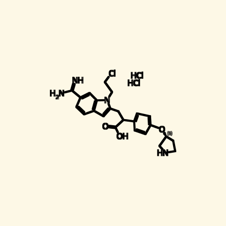 Cl.Cl.N=C(N)c1ccc2cc(CC(C(=O)O)c3ccc(O[C@H]4CCNC4)cc3)n(CCCl)c2c1